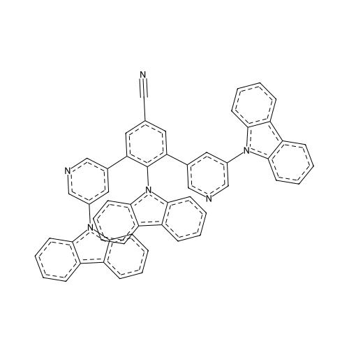 N#Cc1cc(-c2cncc(-n3c4ccccc4c4ccccc43)c2)c(-n2c3ccccc3c3ccccc32)c(-c2cncc(-n3c4ccccc4c4ccccc43)c2)c1